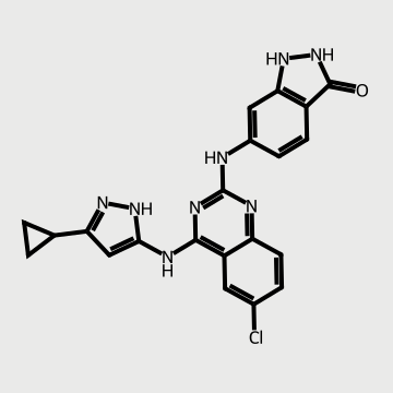 O=c1[nH][nH]c2cc(Nc3nc(Nc4cc(C5CC5)n[nH]4)c4cc(Cl)ccc4n3)ccc12